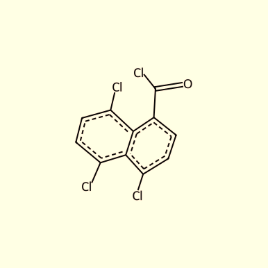 O=C(Cl)c1ccc(Cl)c2c(Cl)ccc(Cl)c12